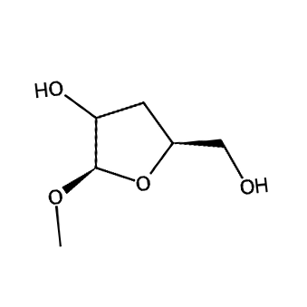 CO[C@@H]1O[C@H](CO)CC1O